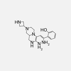 NC1=C(/C=C(\N)c2ccccc2O)N2CCN(C3CNC3)CC2CN1